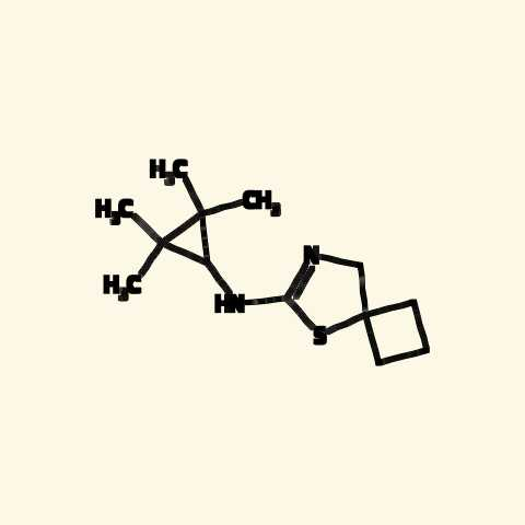 CC1(C)C(NC2=NCC3(CCC3)S2)C1(C)C